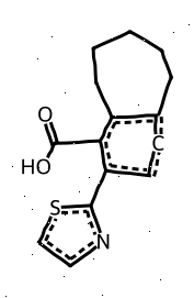 O=C(O)c1c(-c2nccs2)ccc2c1CCCCC2